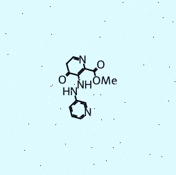 COC(=O)C1=C(NNc2cccnc2)C(=O)CC=N1